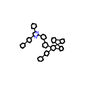 c1ccc(-c2ccc(-c3cc(-c4ccccc4)nc(-c4cccc(-c5cccc(-c6cc7c(cc6-c6ccc(-c8ccccc8)cc6)-c6ccccc6C76c7ccccc7-c7ccccc76)c5)c4)n3)cc2)cc1